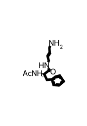 CC(=O)N[C@@H](Cc1ccccc1)C(=O)NCC=CCN